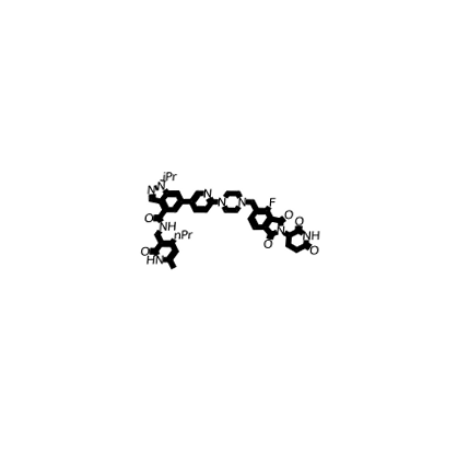 CCCc1cc(C)[nH]c(=O)c1CNC(=O)c1cc(-c2ccc(N3CCN(Cc4ccc5c(c4F)C(=O)N(C4CCC(=O)NC4=O)C5=O)CC3)nc2)cc2c1cnn2C(C)C